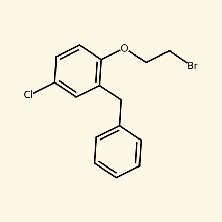 Clc1ccc(OCCBr)c(Cc2ccccc2)c1